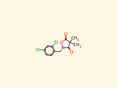 CC1(C)C(=O)ON(Cc2ccc(Cl)cc2Cl)C1=O